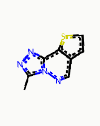 Cc1nnc2c3sccc3cnn12